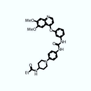 CCC(=O)NC1CCN(c2ccc(NC(=O)Nc3cccc(Oc4ccnc5cc(OC)c(OC)cc45)c3)cc2)CC1